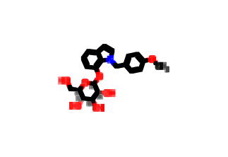 COc1ccc(Cn2ccc3cccc(O[C@@H]4O[C@H](CO)[C@@H](O)[C@H](O)[C@H]4O)c32)cc1